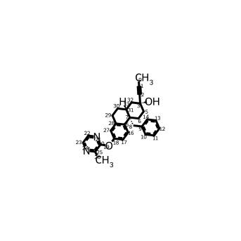 CC#C[C@@]1(O)CC[C@@]2(Cc3ccccc3)c3ccc(Oc4nccnc4C)cc3CC[C@@H]2C1